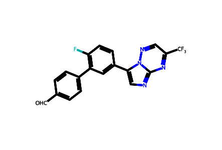 O=Cc1ccc(-c2cc(-c3cnc4nc(C(F)(F)F)cnn34)ccc2F)cc1